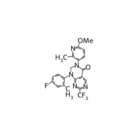 COc1ccc(N2CN(c3ccc(F)cc3C)c3nc(C(F)(F)F)ncc3C2=O)c(C)n1